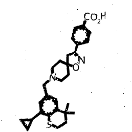 CC1(C)CCSc2c(C3CC3)cc(CN3CCC4(CC3)CC(c3ccc(C(=O)O)cc3)=NO4)cc21